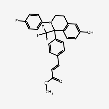 COC(=O)C=Cc1ccc(C2(C(F)(F)F)c3ccc(O)cc3CCN2c2ccc(F)cc2)cc1